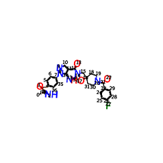 C[S@@](=N)(=O)c1ccc(-n2ncc3c(=O)n(CC4(O)CCN(C(=O)c5ccc(F)cc5)CC4)cnc32)cc1